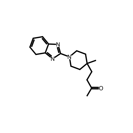 CC(=O)CCC1(C)CCN(C2=NC3=CC=CCC3=N2)CC1